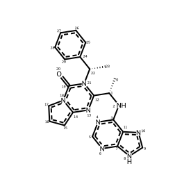 C[C@H](Nc1ncnc2[nH]cnc12)c1nc2cccn2c(=O)n1[C@@H](C)c1ccccc1